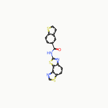 O=C(Nc1nc2ccc3scnc3c2s1)c1ccc2sccc2c1